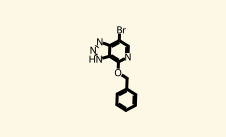 Brc1cnc(OCc2ccccc2)c2[nH]nnc12